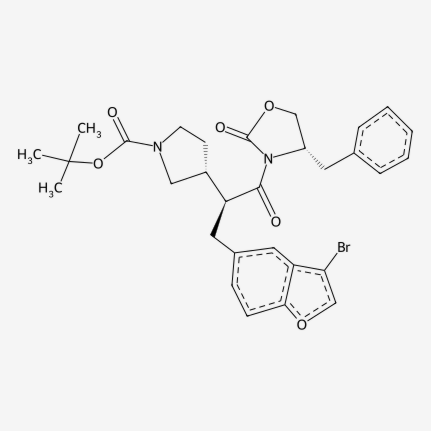 CC(C)(C)OC(=O)N1CC[C@H]([C@H](Cc2ccc3occ(Br)c3c2)C(=O)N2C(=O)OC[C@@H]2Cc2ccccc2)C1